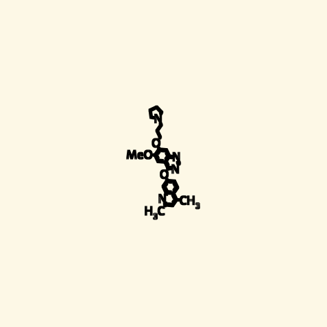 COc1cc2c(Oc3ccc4c(C)cc(C)nc4c3)ncnc2cc1OCCCN1CCCC1